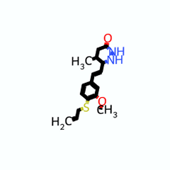 C=CCSc1ccc(/C=C/C2NNC(=O)CC2C)cc1OC